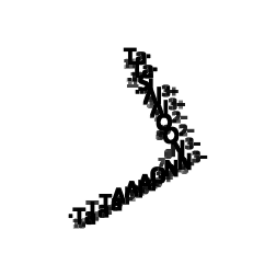 [Al+3].[Al+3].[Al+3].[Al+3].[Al+3].[N-3].[N-3].[N-3].[O-2].[O-2].[O-2].[Si].[Ta].[Ta].[Ta].[Ta].[Ta]